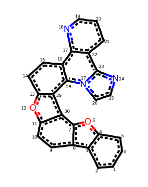 c1ccc2c(c1)oc1c2ccc2oc3ccc4c5ncccc5c5nccn5c4c3c21